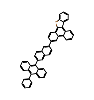 c1ccc(-c2c3ccccc3c(-c3ccc4cc(-c5ccc6c(c5)c5ccccc5c5c7ccccc7sc65)ccc4c3)c3ccccc23)cc1